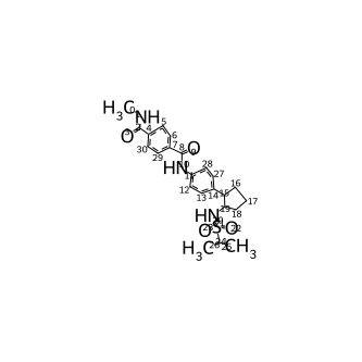 CNC(=O)c1ccc(C(=O)Nc2ccc(C3CCCC3NS(=O)(=O)C(C)C)cc2)cc1